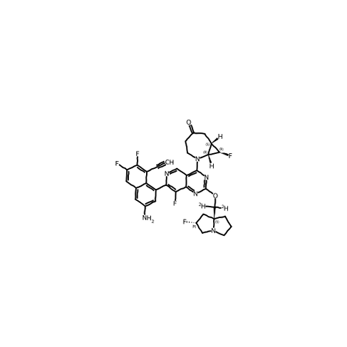 [2H]C([2H])(Oc1nc(N2CCC(=O)C[C@@H]3[C@@H](F)[C@@H]32)c2cnc(-c3cc(N)cc4cc(F)c(F)c(C#C)c34)c(F)c2n1)[C@@]12CCCN1C[C@H](F)C2